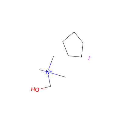 C1CCCC1.C[N+](C)(C)CO.[I-]